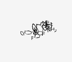 CCN(CC1CCC(c2cc(F)ccc2F)(S(=O)(=O)c2ccc(Cl)cc2)CC1)S(N)(=O)=O